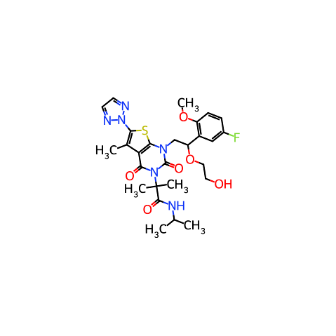 COc1ccc(F)cc1C(Cn1c(=O)n(C(C)(C)C(=O)NC(C)C)c(=O)c2c(C)c(-n3nccn3)sc21)OCCO